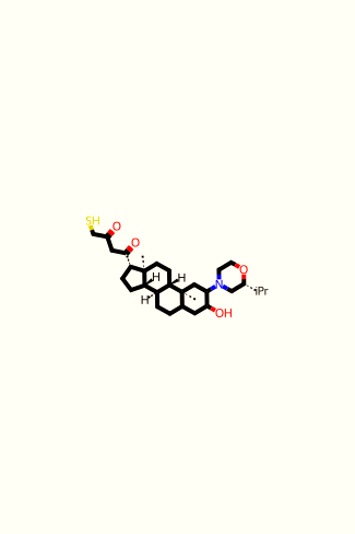 CC(C)[C@@H]1CN(C2C[C@@]3(C)C(CC[C@H]4[C@@H]5CC[C@H](C(=O)CC(=O)CS)[C@@]5(C)CC[C@@H]43)CC2O)CCO1